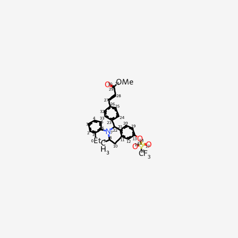 CCc1ccccc1N1C(C)Cc2cc(OS(=O)(=O)C(F)(F)F)ccc2C1c1ccc(/C=C/C(=O)OC)cc1